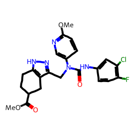 COC(=O)C1CCc2[nH]nc(CN(C(=O)Nc3ccc(F)c(Cl)c3)c3ccc(OC)nc3)c2C1